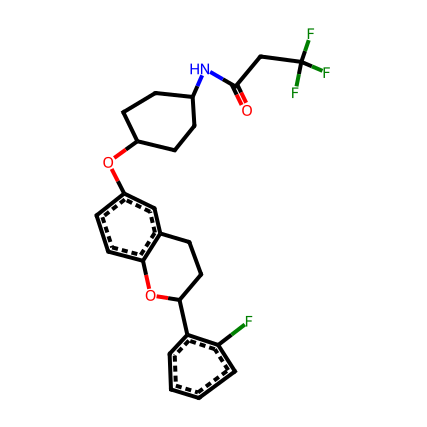 O=C(CC(F)(F)F)NC1CCC(Oc2ccc3c(c2)CCC(c2ccccc2F)O3)CC1